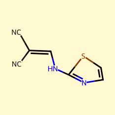 N#CC(C#N)=CNc1nccs1